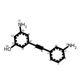 Nc1cccc(C#Cc2cc(N)cc(O)c2)c1